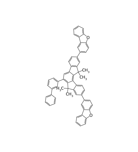 CC1(C)c2cc(-c3ccc4oc5ccccc5c4c3)ccc2-c2c1c(-c1cccc(-c3ccccc3)c1)cc1c2C(C)(C)c2cc(-c3ccc4oc5ccccc5c4c3)ccc2-1